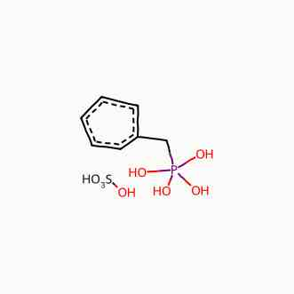 O=S(=O)(O)O.OP(O)(O)(O)Cc1ccccc1